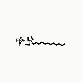 CCCCCCCCCCCC[P+](CC)(CC)CC.F[B-](F)(F)F